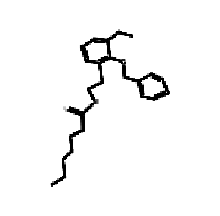 CCCCCCC(=O)NCCc1cccc(OC)c1OCc1ccccc1